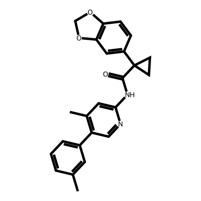 Cc1cccc(-c2cnc(NC(=O)C3(c4ccc5c(c4)OCO5)CC3)cc2C)c1